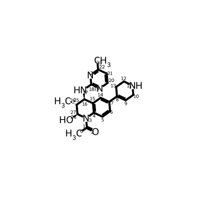 CC(=O)N1c2ccc(C3=CCNCC3)cc2[C@H](Nc2nccc(C)n2)[C@@H](C)[C@@H]1O